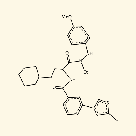 CCN(Nc1ccc(OC)cc1)C(=O)C(CCC1CCCCC1)NC(=O)c1cccc(-c2csc(C)n2)c1